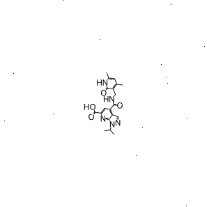 Cc1cc(C)c(CNC(=O)c2cc(C(=O)O)nc3c2cnn3C(C)C)c(=O)[nH]1